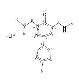 CNCc1cc(-c2ccc(C)cc2)nn(CC(C)C)c1=O.Cl